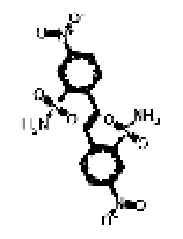 NS(=O)(=O)c1cc([N+](=O)[O-])ccc1C=Cc1ccc([N+](=O)[O-])cc1S(N)(=O)=O